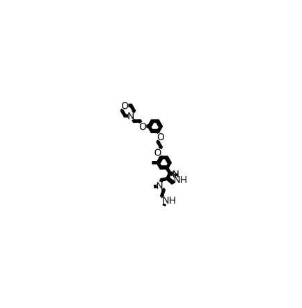 CNCCN(C)Cc1c[nH]nc1-c1ccc(OCCOc2cccc(OCCN3CCOCC3)c2)c(C)c1